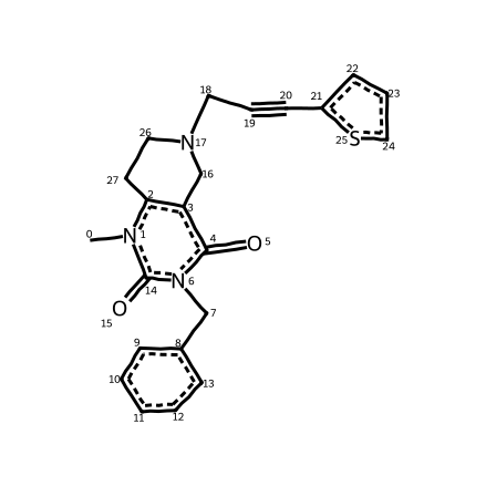 Cn1c2c(c(=O)n(Cc3ccccc3)c1=O)CN(CC#Cc1cccs1)CC2